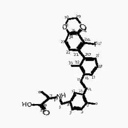 Cc1ccc(CNC(C)C(=O)O)cc1/C=C/c1cccc(-c2ccc3c(c2F)OCCO3)c1C